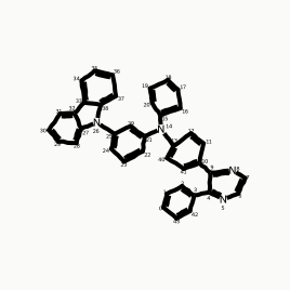 c1ccc(-c2nccnc2-c2ccc(N(c3ccccc3)c3cccc(-n4c5ccccc5c5ccccc54)c3)cc2)cc1